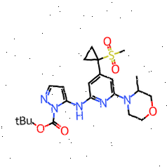 CC1COCCN1c1cc(C2(S(C)(=O)=O)CC2)cc(Nc2ccnn2C(=O)OC(C)(C)C)n1